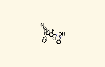 CN(C)C1CN(c2nc(N3CC4CCC(C4)C3)c3cc(Cl)c(/C=C/C(O)=C\c4ccccc4)c(F)c3n2)C1